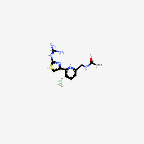 CNC(=O)NCc1cccc(-c2csc(N=C(N)N)n2)n1.Cl.Cl